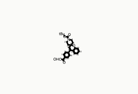 CC(C)(C)OC(=O)N1CCC2(C=C(c3ccc(C(=O)C=O)cc3)c3ccccc3O2)CC1